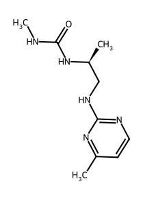 CNC(=O)N[C@@H](C)CNc1nccc(C)n1